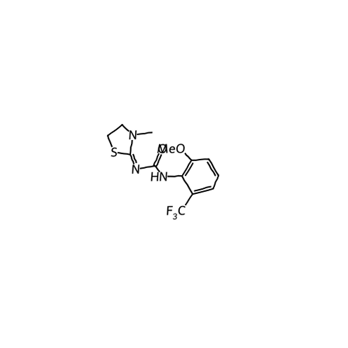 COc1cccc(C(F)(F)F)c1NC(=O)N=C1SCCN1C